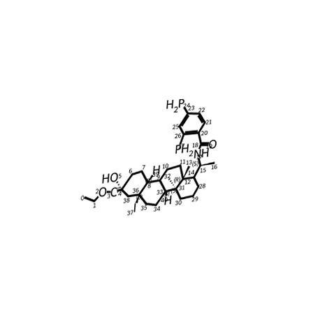 CCOC[C@@]1(O)CC[C@@H]2C3CC[C@]4(C)C([C@H](C)NC(=O)c5ccc(P)cc5P)CCC[C@@]4(C)[C@@H]3CC[C@]2(I)C1